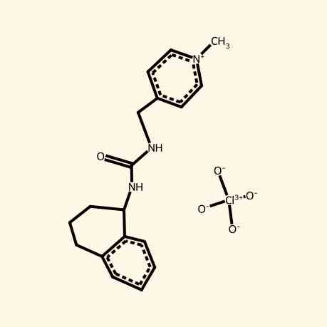 C[n+]1ccc(CNC(=O)NC2CCCc3ccccc32)cc1.[O-][Cl+3]([O-])([O-])[O-]